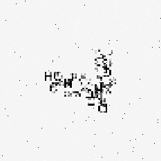 CC(C)(C)[Si](C)(C)OCC1(N(CC2(O)CCN(C(=O)O)CC2)C(=O)CCl)CC1